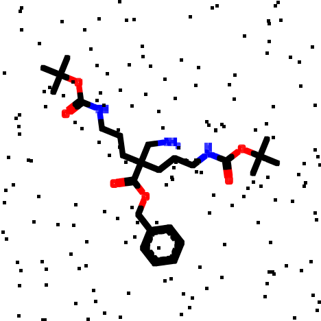 CC(C)(C)OC(=O)NCCCC(CN)(CCCNC(=O)OC(C)(C)C)C(=O)OCc1ccccc1